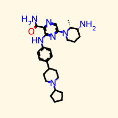 C[C@@H]1[C@H](N)CCCN1c1cnc(C(N)=O)c(Nc2ccc(C3CCN(C4CCCC4)CC3)cc2)n1